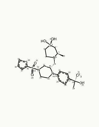 C[C@@H]1CS(O)(O)CCN1C[C@H]1CN(S(=O)(=O)c2cccs2)CCN1c1ccc([C@](C)(O)C(F)(F)F)cc1